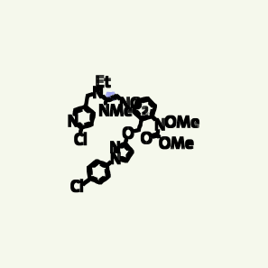 CCN(Cc1ccc(Cl)nc1)/C(=C/[N+](=O)[O-])NC.COC(=O)N(OC)c1ccccc1COc1ccn(-c2ccc(Cl)cc2)n1